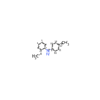 CCc1ccccc1Nc1ccc(C)cc1